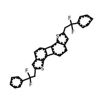 FC(F)(Cc1cc2ccc3c(c2s1)-c1ccc2cc(CC(F)(F)c4ccccc4)sc2c1-3)c1ccccc1